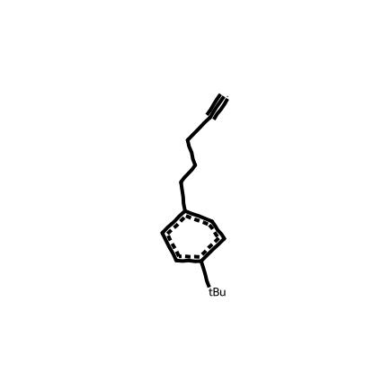 [C]#CCCCc1ccc(C(C)(C)C)cc1